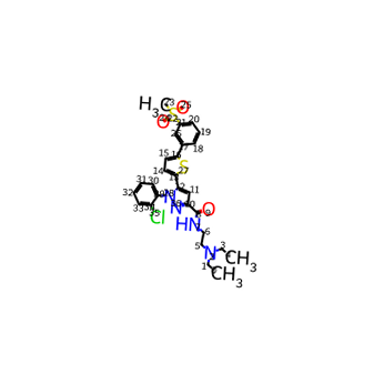 CCN(CC)CCNC(=O)c1cc(-c2ccc(-c3cccc(S(C)(=O)=O)c3)s2)n(-c2ccccc2Cl)n1